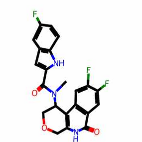 CN(C(=O)c1cc2cc(F)ccc2[nH]1)C1COCc2[nH]c(=O)c3cc(F)c(F)cc3c21